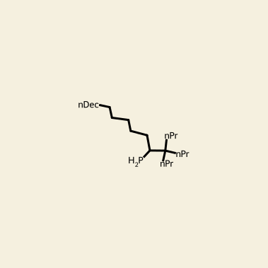 CCCCCCCCCCCCCCCC(P)C(CCC)(CCC)CCC